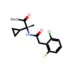 COC(=O)[C@](C)(NC(=O)Cc1c(F)cccc1Cl)C1CC1